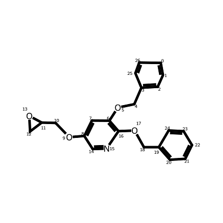 c1ccc(COc2cc(OCC3CO3)cnc2OCc2ccccc2)cc1